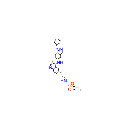 CS(=O)(=O)CCNCCCc1ccc2ncnc(Nc3ccc4c(cnn4Cc4ccccc4)c3)c2c1